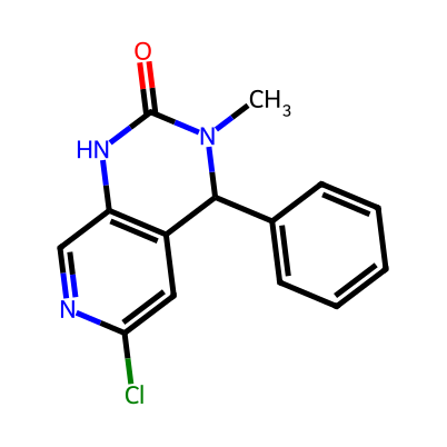 CN1C(=O)Nc2cnc(Cl)cc2C1c1ccccc1